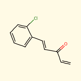 C=CC(=O)C=Cc1ccccc1Cl